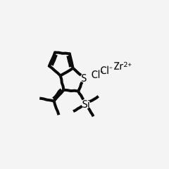 CC(C)=C1C2C=CC=C2SC1[Si](C)(C)C.[Cl-].[Cl-].[Zr+2]